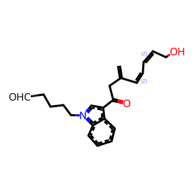 C=C(/C=C\C=C/CO)CC(=O)c1cn(CCCCC=O)c2ccccc12